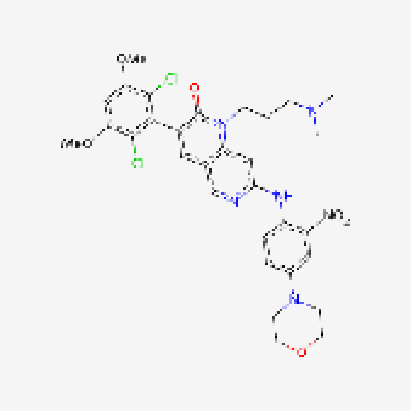 COc1cc(OC)c(Cl)c(-c2cc3cnc(Nc4ccc(N5CCOCC5)cc4[N+](=O)[O-])cc3n(CCCN(C)C)c2=O)c1Cl